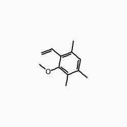 C=Cc1c(C)cc(C)c(C)c1OC